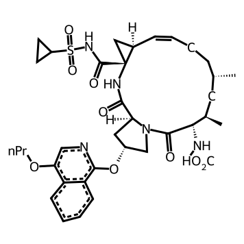 CCCOc1cnc(O[C@@H]2C[C@H]3C(=O)N[C@]4(C(=O)NS(=O)(=O)C5CC5)C[C@H]4/C=C\CC[C@H](C)C[C@@H](C)[C@H](NC(=O)O)C(=O)N3C2)c2ccccc12